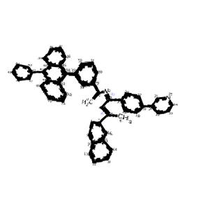 C=C(/N=C(\C=C(/C)c1ccc2ccccc2c1)c1ccc(-c2cccnc2)cc1)c1cccc(-c2c3ccccc3c(-c3ccccc3)c3ccccc23)c1